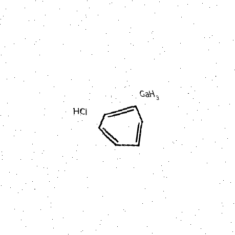 Cl.[GaH3].c1ccccc1